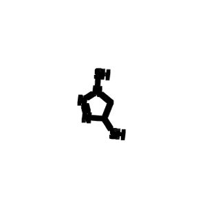 SC1CN(S)N=N1